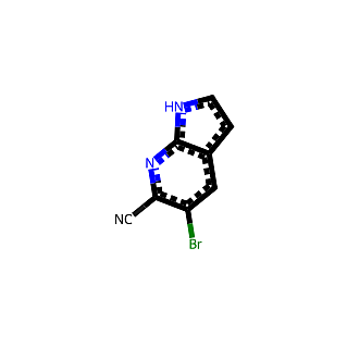 N#Cc1nc2[nH]ccc2cc1Br